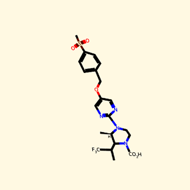 CC(C1[C@@H](C)N(c2ncc(OCc3ccc(S(C)(=O)=O)cc3)cn2)CCN1C(=O)O)C(F)(F)F